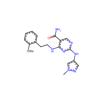 COc1ccccc1CCNc1nc(Nc2cnn(C)c2)ncc1C(N)=O